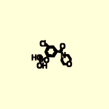 O=C(c1cc(Cl)cc(OB(O)O)c1)N1CCOCC1